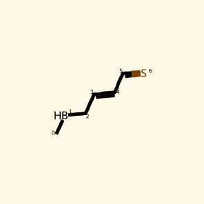 CBCC=CC=S